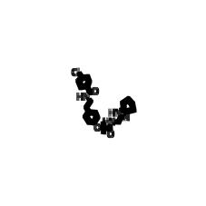 CC(C)(Oc1ccc(CCNC(=O)c2ccc(Cl)cc2)cc1)C(=O)NCc1nc2ccccc2[nH]1